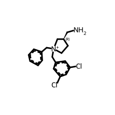 NC[C@H]1CC[N+](Cc2ccccc2)(Cc2cc(Cl)cc(Cl)c2)C1